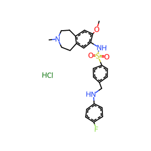 COc1cc2c(cc1NS(=O)(=O)c1ccc(CNc3ccc(F)cc3)cc1)CCN(C)CC2.Cl